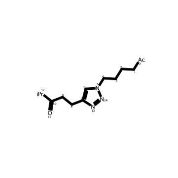 CC(=O)CCCCn1cc(CCC(=O)C(C)C)nn1